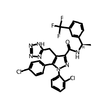 C[C@@H](NC(=O)c1nn(-c2ccccc2Cl)c(-c2ccc(Cl)cc2)c1Cc1nnn[nH]1)c1cccc(C(F)(F)F)c1